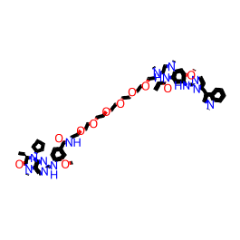 C=CC(=O)Nc1cc(Nc2nccc(-c3cn(C)c4ccccc34)n2)c(OC)cc1N(C)CCN(C)CCOCCOCCOCCOCCOCCOCCNC(=O)c1ccc(Nc2ncc3c(n2)N(C2CCCC2)[C@H](CC)C(=O)N3C)c(OC)c1